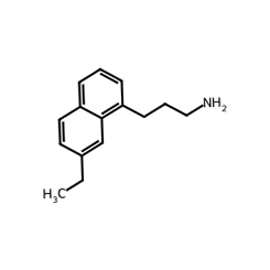 CCc1ccc2cccc(CCCN)c2c1